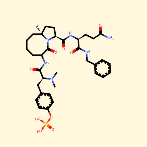 CN(C)[C@@H](Cc1ccc(OP(=O)(O)O)cc1)C(=O)NC1CCCC[C@H]2CC[C@@H](C(=O)N[C@@H](CCC(N)=O)C(=O)NCc3ccccc3)N2C1=O